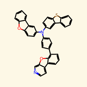 c1ccc2c(c1)oc1ccc(N(c3ccc(-c4cccc5c4oc4cnccc45)cc3)c3ccc4sc5ccccc5c4c3)cc12